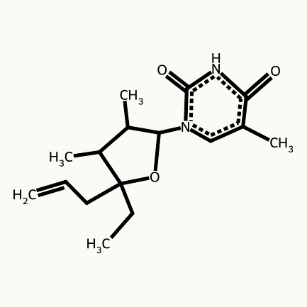 C=CCC1(CC)OC(n2cc(C)c(=O)[nH]c2=O)C(C)C1C